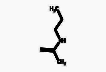 CCCNC(C)=S